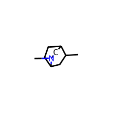 CC1CC2CCC1CN2C